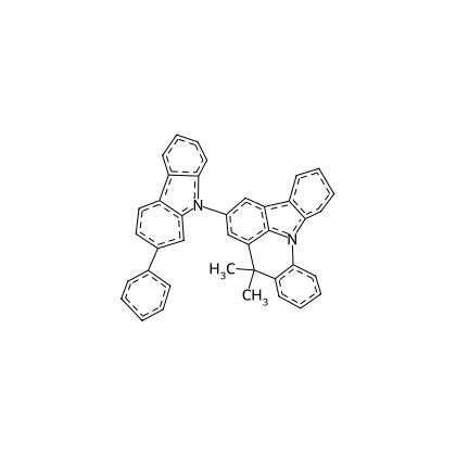 CC1(C)c2ccccc2-n2c3ccccc3c3cc(-n4c5ccccc5c5ccc(-c6ccccc6)cc54)cc1c32